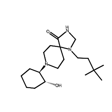 CC(C)(C)CCN1CNC(=O)C12CCN([C@@H]1CCCC[C@H]1O)CC2